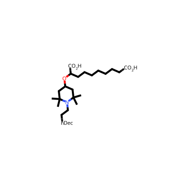 CCCCCCCCCCCCN1C(C)(C)CC(OC(CCCCCCCC(=O)O)C(=O)O)CC1(C)C